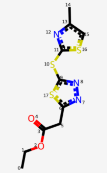 CCOC(=O)Cc1nnc(Sc2nc(C)cs2)s1